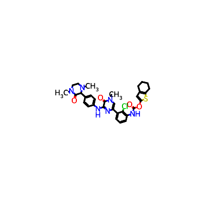 CN1CCN(C)C(c2ccc(Nc3nc(-c4cccc(NC(=O)Oc5cc6c(s5)CCCC6)c4Cl)cn(C)c3=O)cc2)C1=O